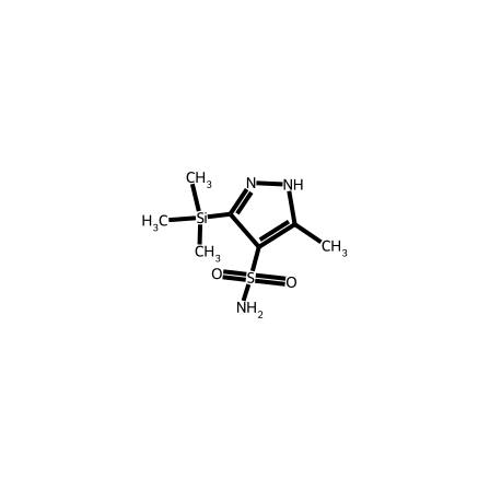 Cc1[nH]nc([Si](C)(C)C)c1S(N)(=O)=O